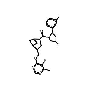 Cc1ncnc(OCC2CC(C(=O)N3CC(F)CC3c3cccc(F)c3)C3CC2C3)c1F